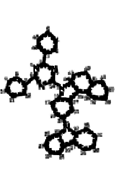 c1ccc(-c2nc(-c3ccccc3)nc(-n3c4ccc(-n5c6ccccc6c6ccccc65)cc4c4c5ccccc5ccc43)n2)cc1